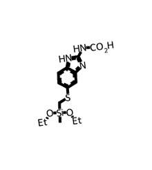 CCO[Si](C)(CSc1ccc2[nH]c(NC(=O)O)nc2c1)OCC